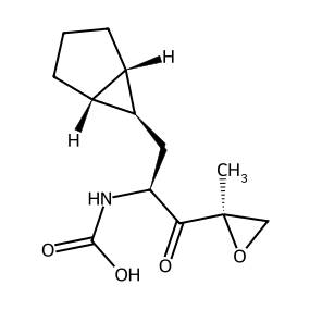 C[C@]1(C(=O)[C@H](C[C@H]2[C@@H]3CCC[C@@H]32)NC(=O)O)CO1